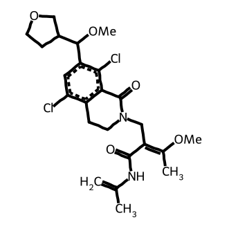 C=C(C)NC(=O)/C(CN1CCc2c(Cl)cc(C(OC)C3CCOC3)c(Cl)c2C1=O)=C(\C)OC